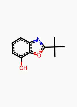 CC(C)(C)c1nc2cccc(O)c2o1